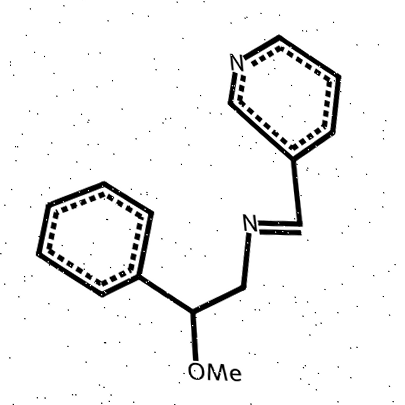 COC(CN=Cc1cccnc1)c1ccccc1